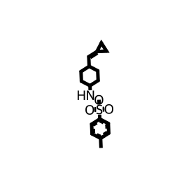 Cc1ccc(S(=O)(=O)ONC2CCC(C=C3CC3)CC2)cc1